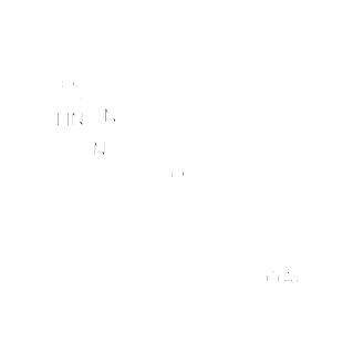 CC(=O)OCCCCCCCOc1ccc2c(c1)CN1CC(=O)NC1=N2